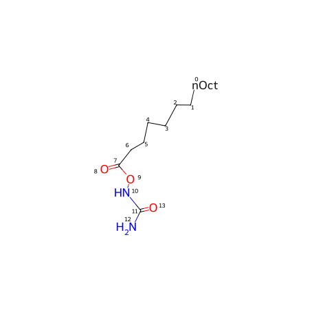 CCCCCCCCCCCCCCC(=O)ONC(N)=O